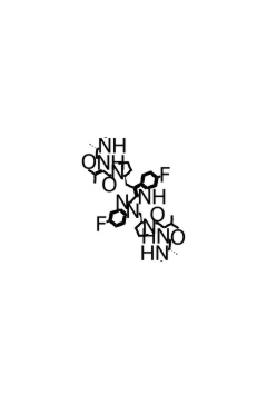 CN[C@@H](C)C(=O)NC(C(=O)N1CCC[C@H]1Cc1c(-c2nc3cc(F)ccc3n2C[C@@H]2CCCN2C(=O)C(NC(=O)[C@H](C)NC)C(C)C)[nH]c2cc(F)ccc12)=C(C)C